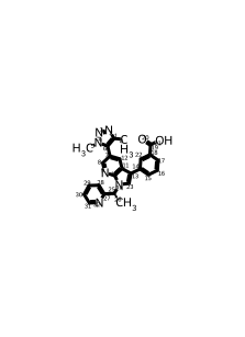 Cc1nnn(C)c1-c1cnc2c(c1)c(-c1cccc(C(=O)O)c1)cn2[C@@H](C)c1ccccn1